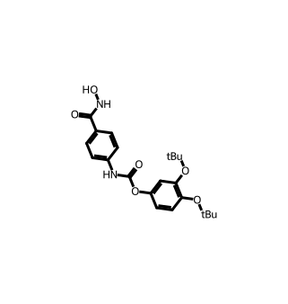 CC(C)(C)Oc1ccc(OC(=O)Nc2ccc(C(=O)NO)cc2)cc1OC(C)(C)C